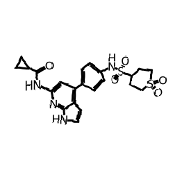 O=C(Nc1cc(-c2ccc(NS(=O)(=O)C3CCS(=O)(=O)CC3)cc2)c2cc[nH]c2n1)C1CC1